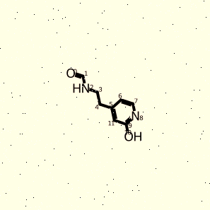 O=CNCCc1ccnc(O)c1